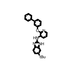 CC(C)(C)c1ccc2nc(Nc3cccnc3Oc3cccc(-c4ccccc4)c3)[nH]c2c1